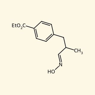 CCOC(=O)c1ccc(CC(C)C=NO)cc1